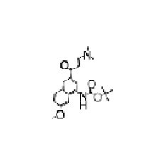 COc1ccc2cc(C(=O)/C=C/N(C)C)cc(NC(=O)OC(C)(C)C)c2c1